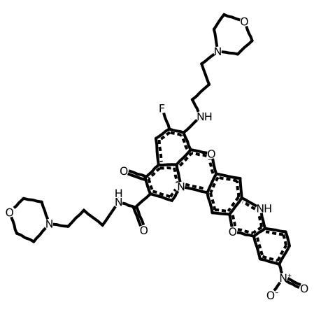 O=C(NCCCN1CCOCC1)c1cn2c3cc4oc5cc([N+](=O)[O-])ccc5[nH]c4cc3oc3c(NCCCN4CCOCC4)c(F)cc(c1=O)c32